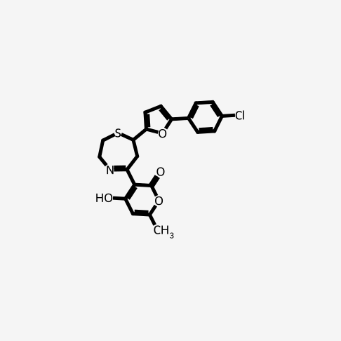 Cc1cc(O)c(C2=NCCSC(c3ccc(-c4ccc(Cl)cc4)o3)C2)c(=O)o1